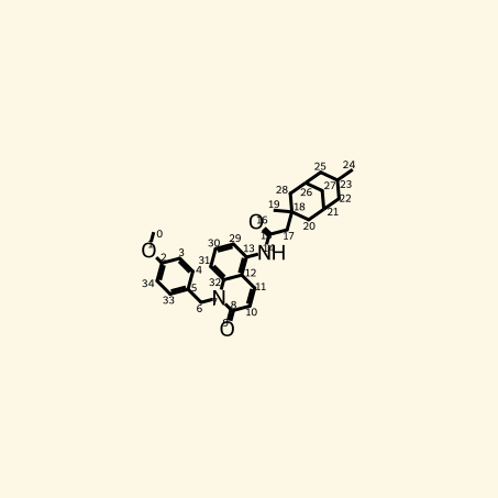 COc1ccc(Cn2c(=O)ccc3c(NC(=O)CC4(C)CC5CC(C)CC(C5)C4)cccc32)cc1